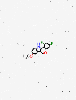 COc1ccc2[nH]c(-c3ccc(F)cc3F)c(C=O)c2c1